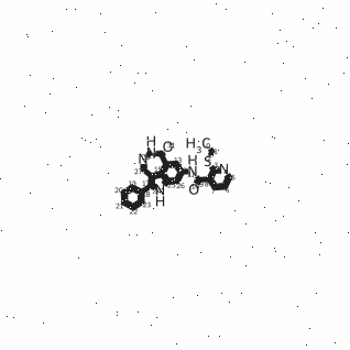 CCSc1ncccc1C(=O)Nc1cc2c3c(c(-c4ccccc4)[nH]c3c1)C=NNC2=O